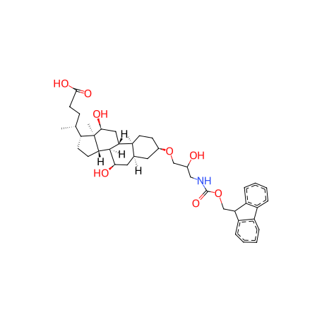 C[C@H](CCC(=O)O)[C@H]1CC[C@H]2[C@@H]3[C@H](O)C[C@@H]4C[C@H](OCC(O)CNC(=O)OCC5c6ccccc6-c6ccccc65)CC[C@]4(C)[C@H]3C[C@H](O)[C@]12C